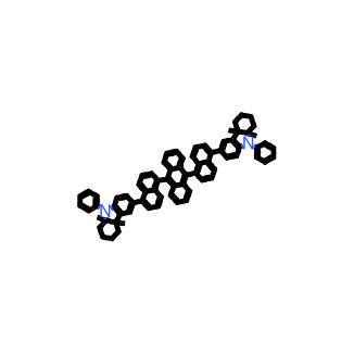 CC12CCCCC1(C)N(c1ccccc1)c1ccc(-c3cccc4c(-c5c6ccccc6c(-c6cccc7c(-c8ccc9c(c8)C8(C)CCCCC8(C)N9c8ccccc8)cccc67)c6ccccc56)cccc34)cc12